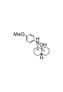 COc1ccc(N[C@@H]2CCC[C@H]3CCCC[C@]32O)cc1